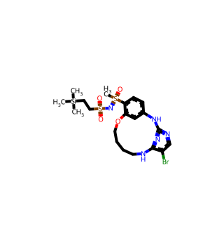 C[Si](C)(C)CCS(=O)(=O)N=S(C)(=O)c1ccc2cc1OCCCCNc1nc(ncc1Br)N2